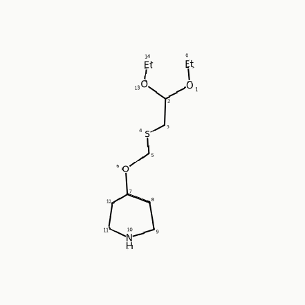 CCOC(CSCOC1CCNCC1)OCC